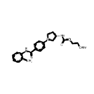 COCCOC(=O)N[C@H]1CCN(c2ccc(C(=O)Nc3ccccc3N)cc2)C1